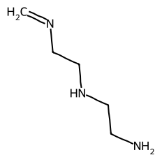 C=NCCNCCN